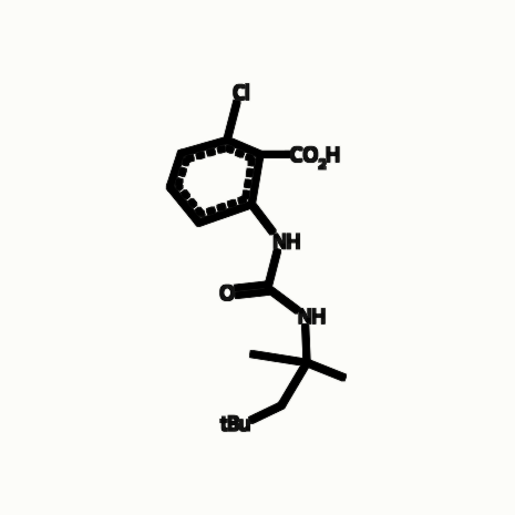 CC(C)(C)CC(C)(C)NC(=O)Nc1cccc(Cl)c1C(=O)O